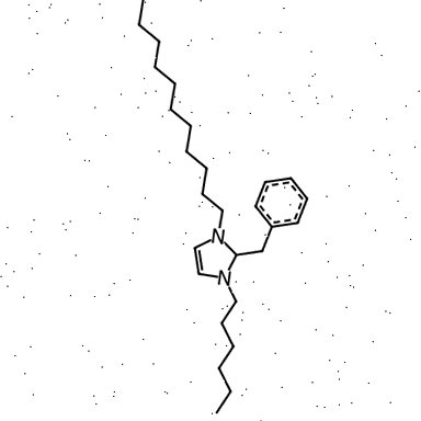 CCCCCCCCCCCN1C=CN(CCCCCC)C1Cc1ccccc1